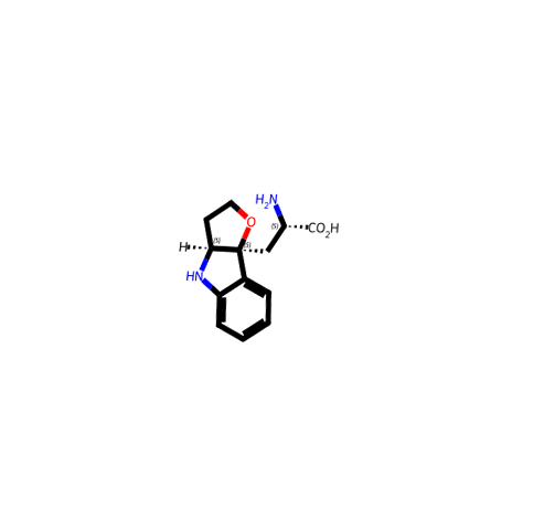 N[C@@H](C[C@@]12OCC[C@@H]1Nc1ccccc12)C(=O)O